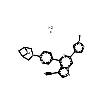 Cl.Cl.Cn1cc(-c2cn3ncc(C#N)c3c(-c3ccc(N4CC5CC(C4)N5)nc3)n2)cn1